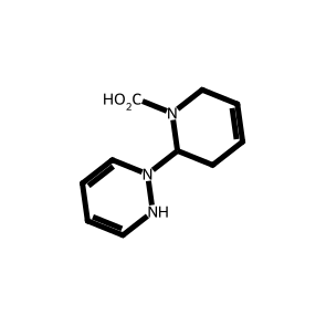 O=C(O)N1CC=CCC1N1C=CC=CN1